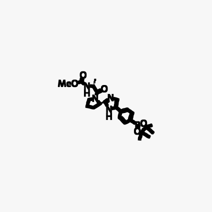 COC(=O)N[C@H](C)C(=O)N1CCC[C@H]1c1ncc(-c2ccc(B3OC(C)(C)C(C)(C)O3)cc2)[nH]1